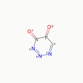 O=C1C=NN=NC1=O